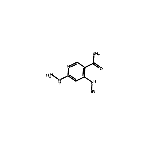 CC(C)Nc1cc(NN)ncc1C(N)=O